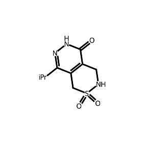 CC(C)c1n[nH]c(=O)c2c1CS(=O)(=O)NC2